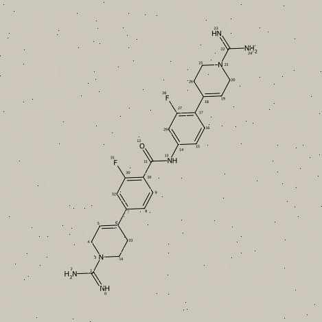 N=C(N)N1CC=C(c2ccc(C(=O)Nc3ccc(C4=CCN(C(=N)N)CC4)c(F)c3)c(F)c2)CC1